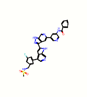 CS(=O)(=O)NCc1cc(F)cc(-c2cncc3[nH]c(-c4n[nH]c5cnc(-c6cncc(NC(=O)c7ccccc7)c6)cc45)cc23)c1